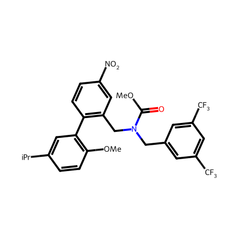 COC(=O)N(Cc1cc(C(F)(F)F)cc(C(F)(F)F)c1)Cc1cc([N+](=O)[O-])ccc1-c1cc(C(C)C)ccc1OC